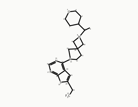 CC(C1CCOCC1)N1CC2(CCN(c3ncnc4sc(CC(F)(F)F)cc34)C2)C1